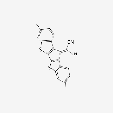 Cc1ccc2c3c(sc2c1)-c1sc2cc(C)ccc2c1C3=C(C#N)C#N